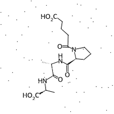 C[C@H](NC(=O)[C@H](C)NC(=O)[C@@H]1CCCN1C(=O)CCCC(=O)O)C(=O)O